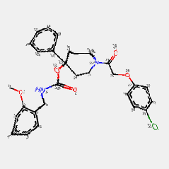 COc1ccccc1CNC(=O)OC1(c2ccccc2)CCN(C(=O)COc2ccc(Cl)cc2)CC1